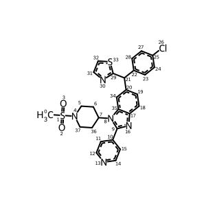 CS(=O)(=O)N1CCC(n2c(-c3ccncc3)nc3ccc(C(c4ccc(Cl)cc4)c4nccs4)cc32)CC1